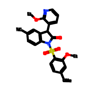 CCOc1cc(OC)ccc1S(=O)(=O)N1C(=O)[C](c2cccnc2OCC)c2cc(C#N)ccc21